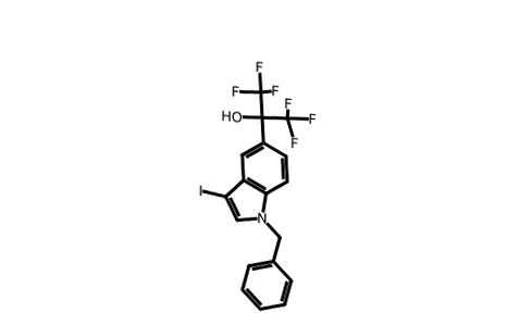 OC(c1ccc2c(c1)c(I)cn2Cc1ccccc1)(C(F)(F)F)C(F)(F)F